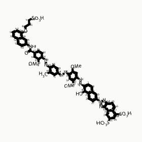 COc1cc(N=Nc2ccc3cc(-n4nc5ccc6c(S(=O)(=O)O)cc(S(=O)(=O)O)cc6c5n4)ccc3c2O)c(OC)cc1N=Nc1ccc(N=Nc2ccc(C(=O)Nc3ccc4cccc(OCCCS(=O)(=O)O)c4c3)cc2OC)c(C)c1